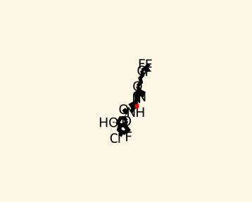 O=C(NC12CC(n3cc(OCCCOC(F)(F)F)cn3)(C1)C2)[C@H]1C[C@@H](O)c2cc(Cl)c(F)cc2O1